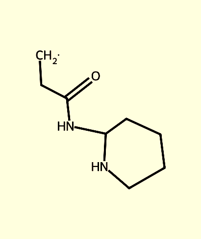 [CH2]CC(=O)NC1CCCCN1